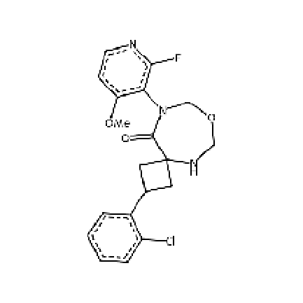 COc1ccnc(F)c1N1COCNC2(CC(c3ccccc3Cl)C2)C1=O